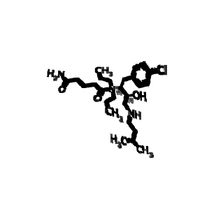 CCC[N+](CCC)(C(=O)CCCC(N)=O)[C@@H](Cc1ccc(Cl)cc1)[C@H](O)CNCCC(C)C